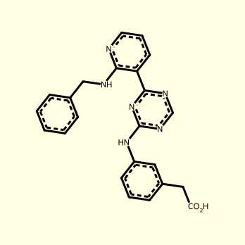 O=C(O)Cc1cccc(Nc2ncnc(-c3cccnc3NCc3ccccc3)n2)c1